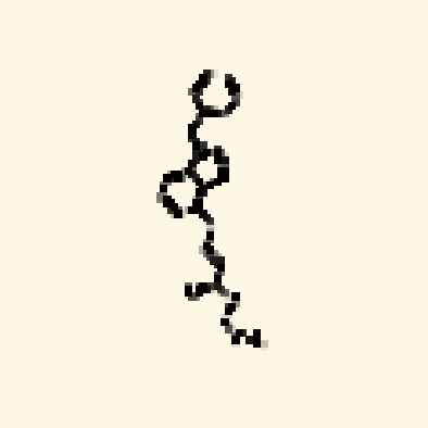 CCOC(=O)/C=C/Cc1cccc2c1cnn2Cc1ccccc1